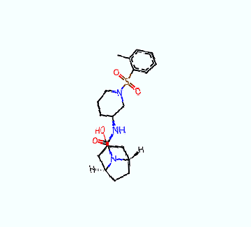 Cc1ccccc1S(=O)(=O)N1CCC[C@H](NC(=O)N2[C@H]3CC[C@H]2CC(O)C3)C1